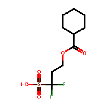 O=C(OCCC(F)(F)S(=O)(=O)O)C1CCCCC1